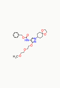 COCCOCCOc1nn(C2CCC3(CC2)OCCO3)cc1NC(=O)OCc1ccccc1